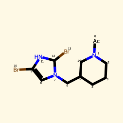 CC(=O)N1CCCC(CN2C=C(Br)NC2Br)C1